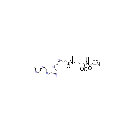 CC/C=C\C/C=C\C/C=C\C/C=C\C/C=C\C/C=C\CCC(=O)NCCCCC(NC(=O)c1cccnc1)C(=O)OC